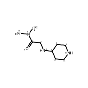 CCCN(CCC)C(=O)CNC1CCNCC1